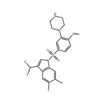 COc1ccc(S(=O)(=O)n2cc(C(F)F)c3cc(F)c(F)cc32)cc1N1CCNCC1